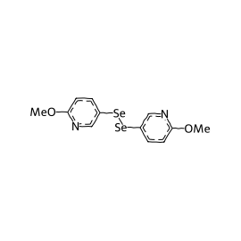 COc1ccc([Se][Se]c2ccc(OC)nc2)cn1